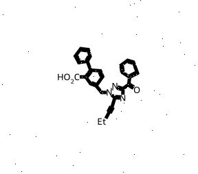 CCC#Cc1nc(C(=O)c2ccccc2)nn1Cc1ccc(-c2ccccc2)c(C(=O)O)c1